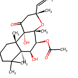 C=C[C@@]1(C)CC(=O)[C@]2(O)[C@@]3(C)CCCC(C)(C)[C@@H]3[C@H](O)[C@H](OC(C)=O)[C@@]2(C)O1